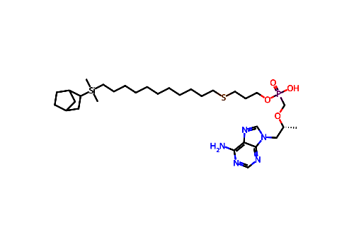 C[C@H](Cn1cnc2c(N)ncnc21)OCP(=O)(O)OCCCSCCCCCCCCCCC[Si](C)(C)C1CC2CCC1C2